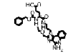 CCOCc1nc2c(N)nc3ccccc3c2n1CCCNC(=O)[C@H](CCC(=O)O)NC(=O)OCc1ccccc1